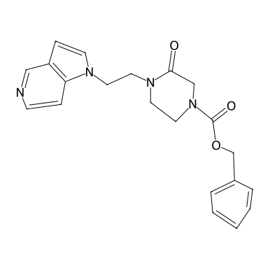 O=C1CN(C(=O)OCc2ccccc2)CCN1CCn1ccc2cnccc21